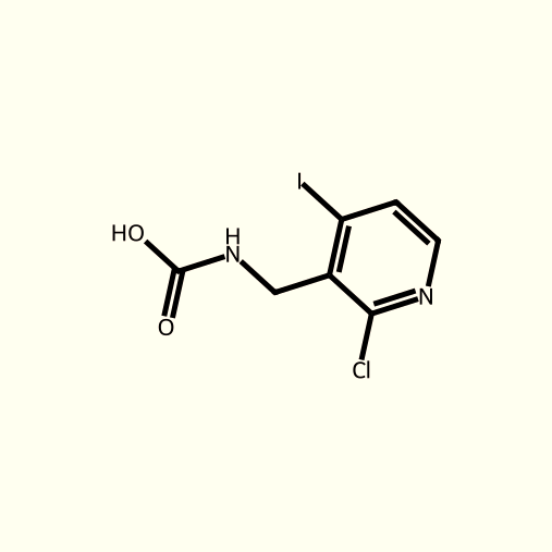 O=C(O)NCc1c(I)ccnc1Cl